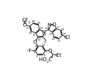 CC[C@H](Oc1ccc(F)c(Oc2c(C)n(-c3noc4cc(Cl)ccc34)c3ccc(OC(F)(F)F)cc23)c1)C(=O)O